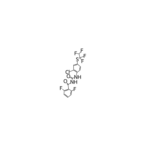 O=C(NC(=O)c1c(F)cccc1F)Nc1ccc(SC(F)(F)C(F)F)cc1Cl